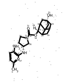 Cc1ccc(N)c(N[C@@H]2CCN(C(=O)O[C@H]3C4CC5CC3C[C@](O)(C5)C4)C2)n1